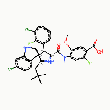 COc1cc(C(=O)O)c(F)cc1NC(=O)[C@@H]1N[C@@H](CC(C)(C)C)[C@@]2(CNc3cc(Cl)ccc32)[C@H]1c1cccc(Cl)c1F